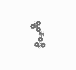 c1ccc2c(c1)Oc1ccccc1N2c1ccc(-n2cc(-c3ccc(N4c5ccccc5Sc5ccccc54)cc3)nn2)cc1